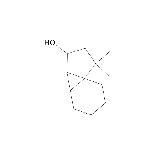 CC1(C)CC(O)C2C3CCCCC321